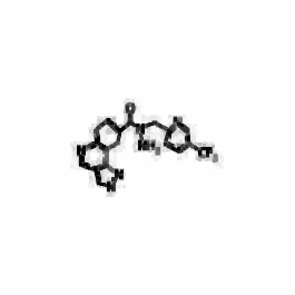 NN(Cc1ccc(C(F)(F)F)cn1)C(=O)C1=CC=c2ncc3c(c2C1)N=NC=3